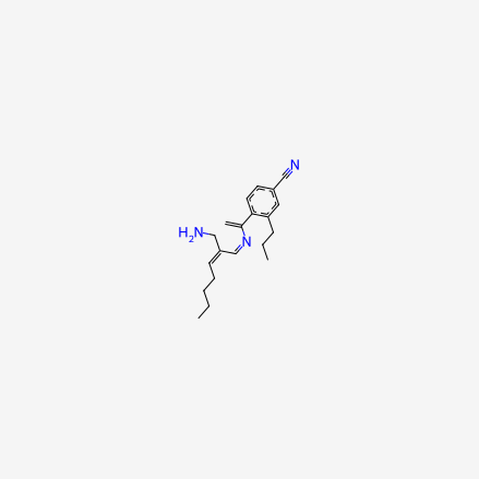 C=C(/N=C\C(=C/CCCC)CN)c1ccc(C#N)cc1CCC